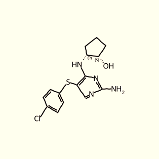 Nc1ncc(Sc2ccc(Cl)cc2)c(N[C@@H]2CCC[C@@H]2O)n1